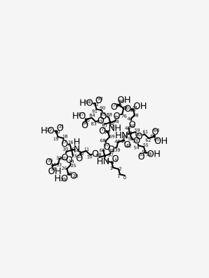 CCCCC(=O)NC(COCCC(=O)NC(COCCC(=O)O)(COCCC(=O)O)COCCC(=O)O)(COCCC(=O)NC(COCCC(=O)O)(COCCC(=O)O)COCCC(=O)O)COCCC(=O)NC(COCCC(=O)O)(COCCC(=O)O)COCCC(=O)O